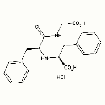 Cl.O=C(O)CNC(=O)[C@H](Cc1ccccc1)N[C@@H](Cc1ccccc1)C(=O)O